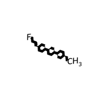 CCC[C@H]1CC[C@H]([C@H]2CC[C@H]([C@H]3CC[C@H](C=CCCF)CC3)CC2)CC1